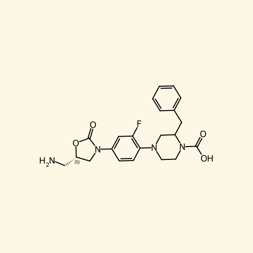 NC[C@H]1CN(c2ccc(N3CCN(C(=O)O)C(Cc4ccccc4)C3)c(F)c2)C(=O)O1